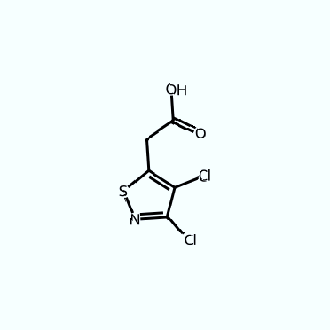 O=C(O)Cc1snc(Cl)c1Cl